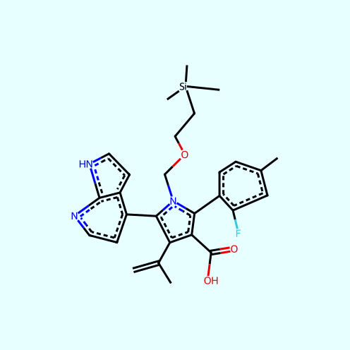 C=C(C)c1c(C(=O)O)c(-c2ccc(C)cc2F)n(COCC[Si](C)(C)C)c1-c1ccnc2[nH]ccc12